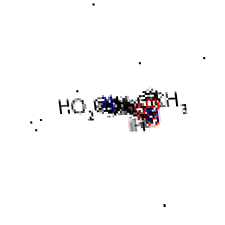 Cc1cccc(C)c1OCc1noc(C(C)C)c1COc1ccc(-c2ccc3nc(C(=O)O)ccc3c2)cc1